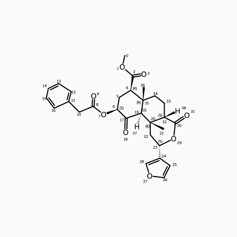 COC(=O)[C@@H]1C[C@H](OC(=O)Cc2ccccc2)C(=O)[C@@H]2[C@@]3(C)C[C@@H](c4ccoc4)OC(=O)[C@H]3CC[C@]21C